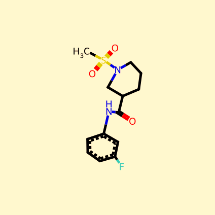 CS(=O)(=O)N1CCCC(C(=O)Nc2cccc(F)c2)C1